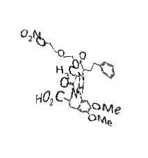 COc1cc2c(cc1OC)CN(C(=O)C(C)NC(CCc1ccccc1)C(=O)OCCOCCO[N+](=O)[O-])C(C(=O)O)C2